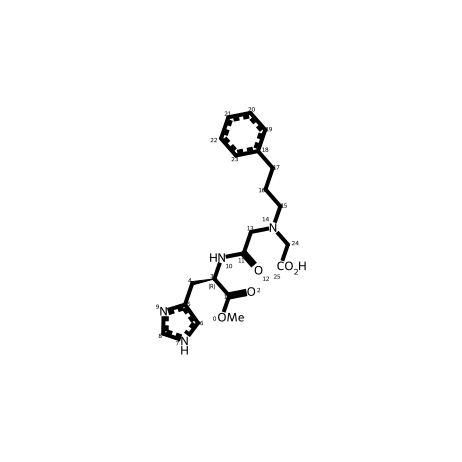 COC(=O)[C@@H](Cc1c[nH]cn1)NC(=O)CN(CCCc1ccccc1)CC(=O)O